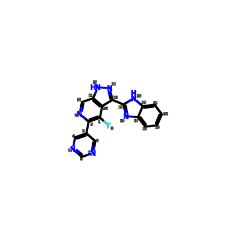 Fc1c(-c2cncnc2)ncc2[nH]nc(-c3nc4ccccc4[nH]3)c12